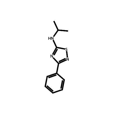 CC(C)Nc1nc(-c2ccccc2)ns1